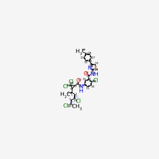 C=C(/C=C(Cl)\C=C(/C)Cl)C1C(C(=O)Nc2ccc(Cl)c(C(=O)Nc3nc(-c4ccc(C)cc4)cs3)c2)C1(Cl)Cl